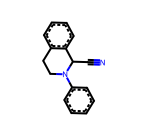 N#CC1c2ccccc2CCN1c1ccccc1